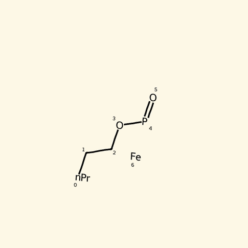 CCCCCOP=O.[Fe]